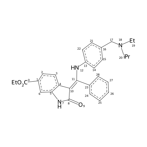 CCOC(=O)c1ccc2c(c1)NC(=O)C2=C(Nc1ccc(CN(CC)C(C)C)cc1)c1ccccc1